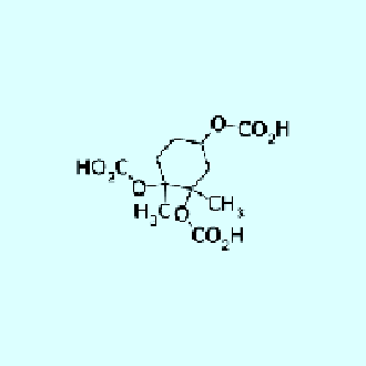 CC1(OC(=O)O)CCC(OC(=O)O)CC1(C)OC(=O)O